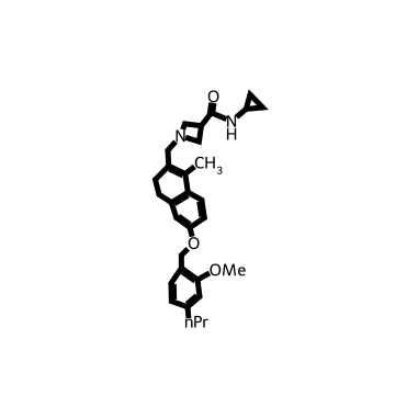 CCCc1ccc(COc2ccc3c(c2)CCC(CN2CC(C(=O)NC4CC4)C2)=C3C)c(OC)c1